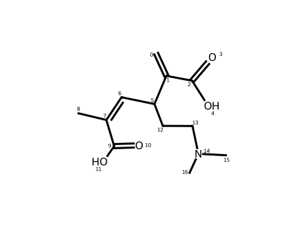 C=C(C(=O)O)C(C=C(C)C(=O)O)CCN(C)C